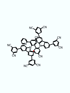 N#Cc1cc(C#N)cc(-c2ccc3c(c2)c2cc(-c4cc(C#N)cc(C#N)c4)ccc2n3-c2cc(C#N)ccc2-c2cc(C#N)cc(-c3ccccn3)c2-n2c3ccc(-c4cc(C#N)cc(C#N)c4)cc3c3cc(-c4cc(C#N)cc(C#N)c4)ccc32)c1